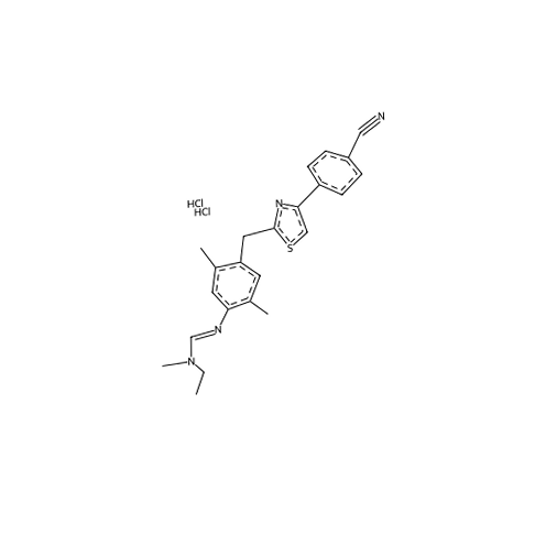 CCN(C)C=Nc1cc(C)c(Cc2nc(-c3ccc(C#N)cc3)cs2)cc1C.Cl.Cl